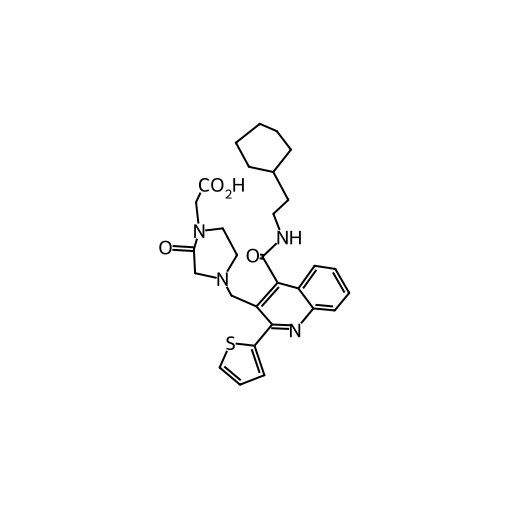 O=C(O)CN1CCN(Cc2c(-c3cccs3)nc3ccccc3c2C(=O)NCCC2CCCCC2)CC1=O